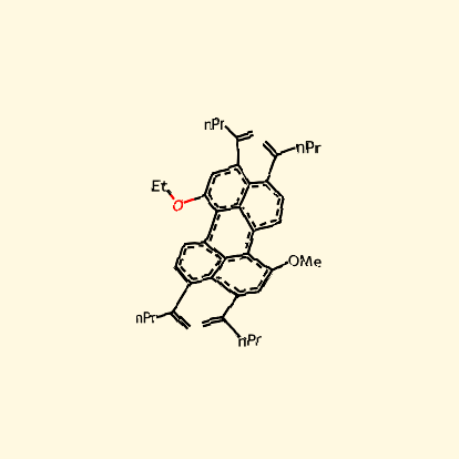 C=C(CCC)c1ccc2c3c(OCC)cc(C(=C)CCC)c4c(C(=C)CCC)ccc(c5c(OC)cc(C(=C)CCC)c1c25)c43